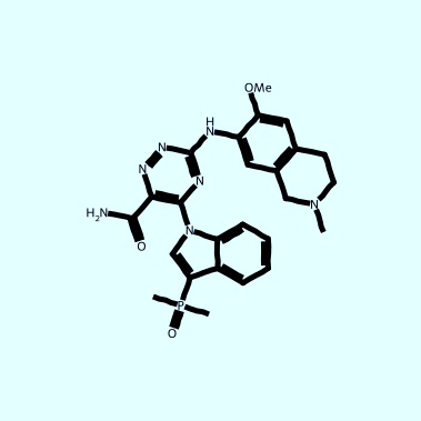 COc1cc2c(cc1Nc1nnc(C(N)=O)c(-n3cc(P(C)(C)=O)c4ccccc43)n1)CN(C)CC2